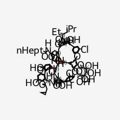 CCCCCCCC(=O)NC(=O)C[C@@H]1CC(=O)[C@H](NC(=O)[C@H](CC)CC(C)C)[C@H](O)c2ccc(c(Cl)c2)Oc2cc3cc(c2O[C@@H]2O[C@H](CO)[C@@H](O)[C@H](O)[C@H]2O)Oc2ccc(cc2Cl)[C@@H](O)[C@@H]2NC(=O)[C@H](CC(=O)[C@@H]3NC1=O)c1ccc(O)c(c1)-c1c(O)cc(O)cc1[C@@H](C(=O)CC1CC1)NC2=O